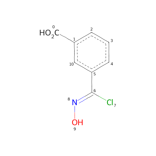 O=C(O)c1cccc(C(Cl)=NO)c1